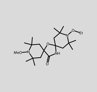 CCON1C(C)(C)CC2(CC1(C)C)NC(=O)C1(CC(C)(C)N(OC)C(C)(C)C1)O2